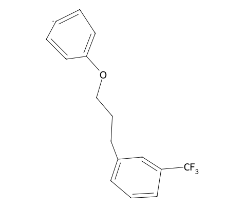 FC(F)(F)c1cccc(CCCOc2cc[c]cc2)c1